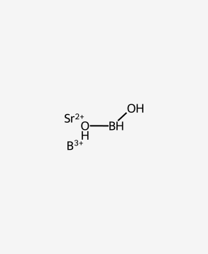 OBO.[B+3].[Sr+2]